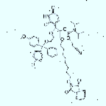 COc1ccc(C(OC[C@H]2O[C@@H](n3ccc(=O)[nH]c3=O)C(OP(OCCC#N)N(C(C)C)C(C)C)C2OCCCCCCCCON2C(=O)c3ccccc3C2=O)(c2ccccc2)c2ccc(OC)cc2)cc1